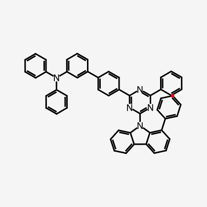 c1ccc(-c2nc(-c3ccc(-c4cccc(N(c5ccccc5)c5ccccc5)c4)cc3)nc(-n3c4ccccc4c4cccc(-c5ccccc5)c43)n2)cc1